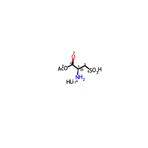 CC(=O)OC(=O)[C@H](N)CS(=O)(=O)O.[LiH]